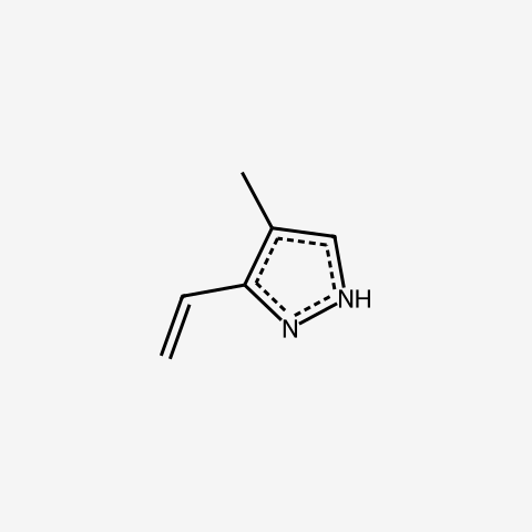 C=Cc1n[nH]cc1C